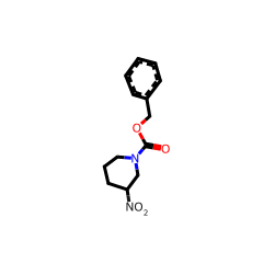 O=C(OCc1ccccc1)N1CCCC([N+](=O)[O-])C1